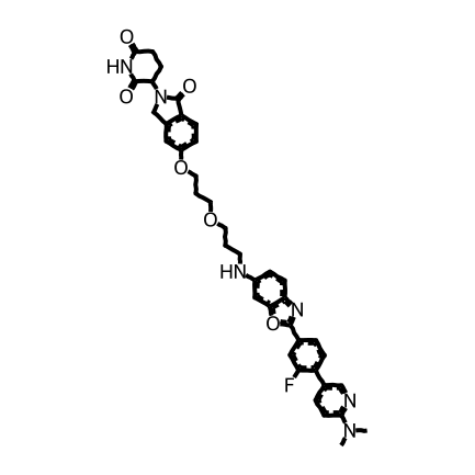 CN(C)c1ccc(-c2ccc(-c3nc4ccc(NCCCOCCCOc5ccc6c(c5)CN(C5CCC(=O)NC5=O)C6=O)cc4o3)cc2F)cn1